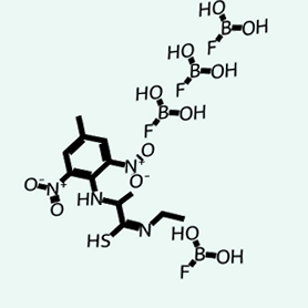 CC/N=C(/S)C(C)Nc1c([N+](=O)[O-])cc(C)cc1[N+](=O)[O-].OB(O)F.OB(O)F.OB(O)F.OB(O)F